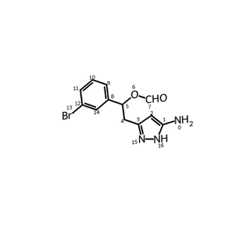 Nc1cc(CC(OC=O)c2cccc(Br)c2)n[nH]1